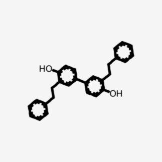 Oc1ccc(-c2ccc(O)c(CCc3ccccc3)c2)cc1CCc1ccccc1